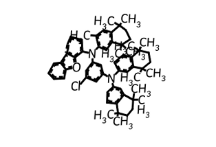 Cc1cc2c(cc1N(c1cc(Cl)cc(N(c3ccc4c(c3)C(C)(C)CCC4(C)C)c3ccc4c(c3)C(C)(C)CCC4(C)C)c1)c1cccc3c1oc1ccccc13)C(C)(C)CCC2(C)C